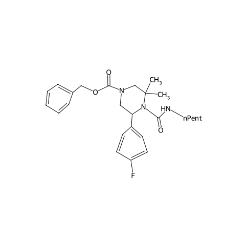 CCCCCNC(=O)N1C(c2ccc(F)cc2)CN(C(=O)OCc2ccccc2)CC1(C)C